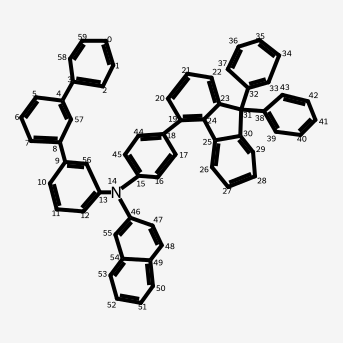 c1ccc(-c2cccc(-c3cccc(N(c4ccc(-c5cccc6c5-c5ccccc5C6(c5ccccc5)c5ccccc5)cc4)c4ccc5ccccc5c4)c3)c2)cc1